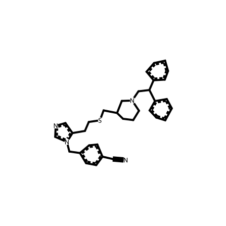 N#Cc1ccc(Cn2cncc2CCSCC2CCCN(CC(c3ccccc3)c3ccccc3)C2)cc1